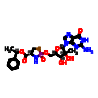 C[C@@H](OC(=O)[C@@H]1CSP(=O)(OC[C@H]2O[C@@H](n3cnc4c(=O)[nH]c(N)nc43)[C@](C)(O)[C@@H]2O)N1)c1ccccc1